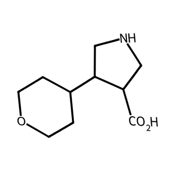 O=C(O)C1CNCC1C1CCOCC1